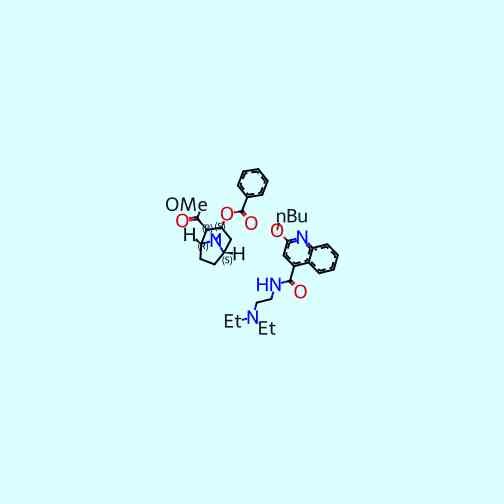 CCCCOc1cc(C(=O)NCCN(CC)CC)c2ccccc2n1.COC(=O)[C@H]1[C@@H](OC(=O)c2ccccc2)C[C@@H]2CC[C@H]1N2C